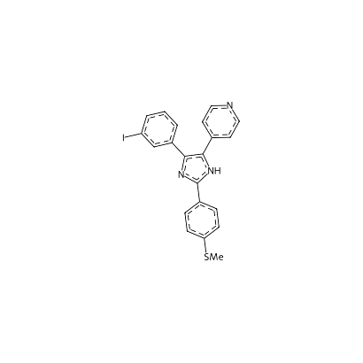 CSc1ccc(-c2nc(-c3cccc(I)c3)c(-c3ccncc3)[nH]2)cc1